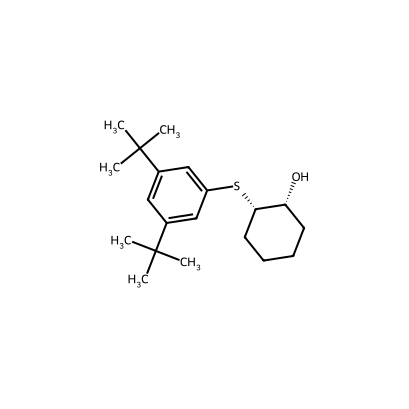 CC(C)(C)c1cc(S[C@H]2CCCC[C@H]2O)cc(C(C)(C)C)c1